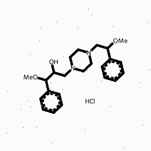 COC(CN1CCN(CC(O)C(OC)c2ccccc2)CC1)c1ccccc1.Cl